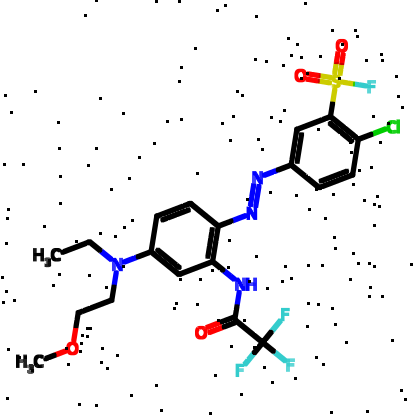 CCN(CCOC)c1ccc(N=Nc2ccc(Cl)c(S(=O)(=O)F)c2)c(NC(=O)C(F)(F)F)c1